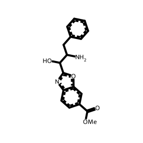 COC(=O)c1ccc2nc(C(O)C(N)Cc3ccccc3)oc2c1